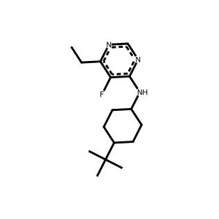 CCc1ncnc(NC2CCC(C(C)(C)C)CC2)c1F